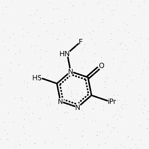 CC(C)c1nnc(S)n(NF)c1=O